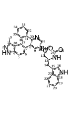 Cc1n[nH]c2ccc(-c3cc(OC[C@H](Cc4c[nH]c5ccccc45)NC(=O)OCC(C)C)cnc3-c3ccccc3)cc12